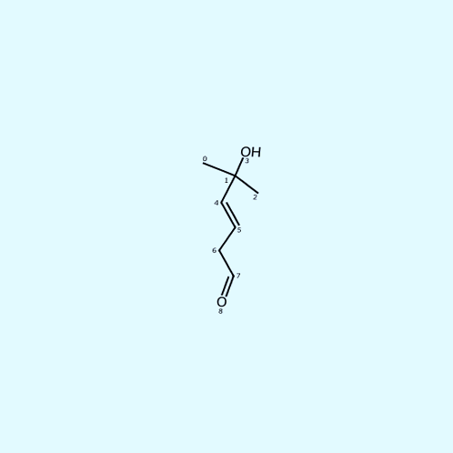 CC(C)(O)C=CCC=O